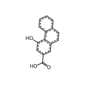 O=C(O)c1cc(O)c2c(ccc3ccccc32)c1